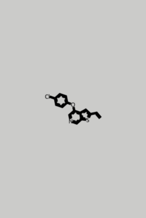 C=Cc1cc2c(Oc3ccc(Cl)cc3)cncc2s1